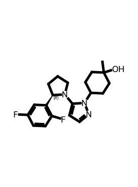 CC1(O)CCC(n2nccc2N2CCC[C@@H]2c2cc(F)ccc2F)CC1